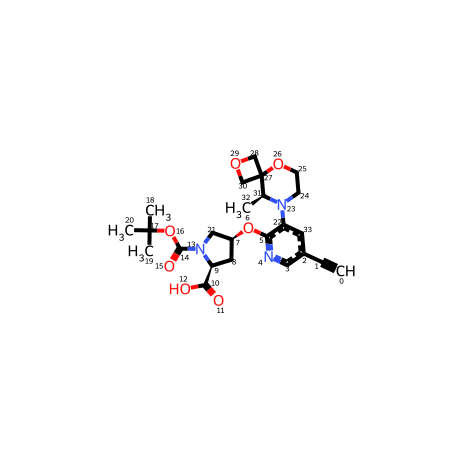 C#Cc1cnc(O[C@H]2C[C@@H](C(=O)O)N(C(=O)OC(C)(C)C)C2)c(N2CCOC3(COC3)[C@@H]2C)c1